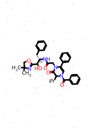 CC(C)C1C(=O)N(CC(=O)N[C@@H](Cc2ccccc2)C(O)C2=NC(C)(C)CO2)C(c2ccccc2)=CN1C(=O)c1ccccc1